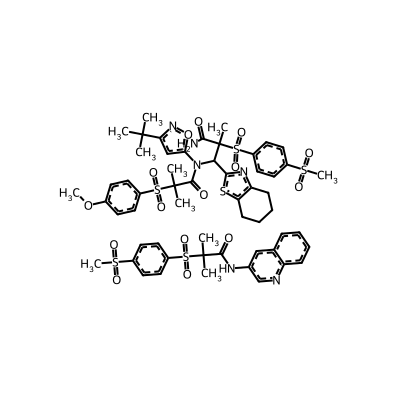 CC(C)(C(=O)Nc1cnc2ccccc2c1)S(=O)(=O)c1ccc(S(C)(=O)=O)cc1.COc1ccc(S(=O)(=O)C(C)(C)C(=O)N(c2cc(C(C)(C)C)no2)C(c2nc3c(s2)CCCC3)C(C)(C(N)=O)S(=O)(=O)c2ccc(S(C)(=O)=O)cc2)cc1